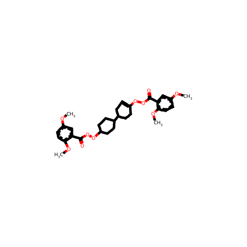 COc1ccc(OC)c(C(=O)OOC2=CCC(C3CCC(OOC(=O)c4cc(OC)ccc4OC)CC3)CC2)c1